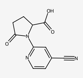 N#Cc1ccnc(N2C(=O)CCC2C(=O)O)c1